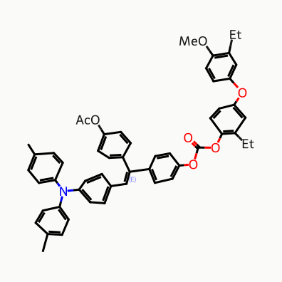 CCc1cc(Oc2ccc(OC(=O)Oc3ccc(/C(=C/c4ccc(N(c5ccc(C)cc5)c5ccc(C)cc5)cc4)c4ccc(OC(C)=O)cc4)cc3)c(CC)c2)ccc1OC